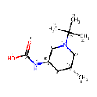 C[C@@H]1C[C@@H](NC(=O)O)CN(C(C)(C)C)C1